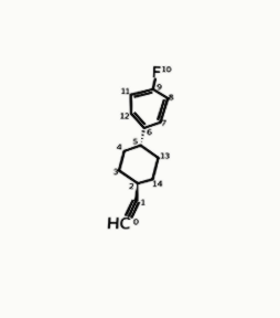 C#C[C@H]1CC[C@H](c2ccc(F)cc2)CC1